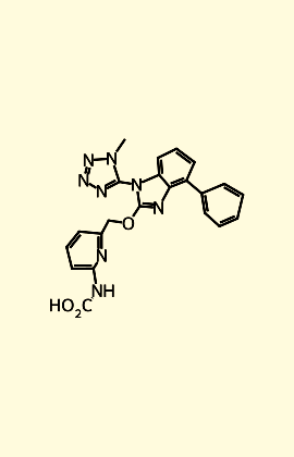 Cn1nnnc1-n1c(OCc2cccc(NC(=O)O)n2)nc2c(-c3ccccc3)cccc21